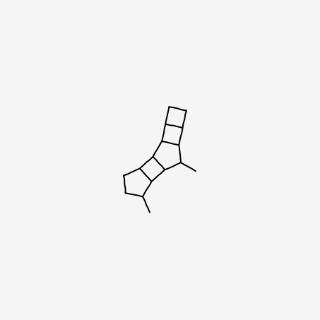 CC1CCC2C1C1C(C)C3C4CCC4C3C21